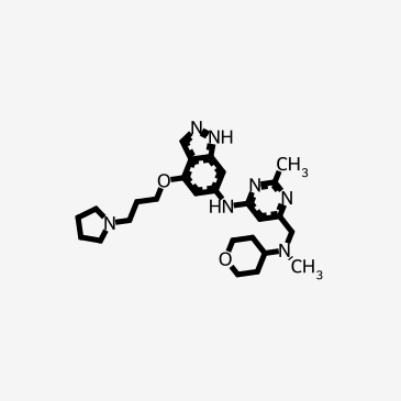 Cc1nc(CN(C)C2CCOCC2)cc(Nc2cc(OCCCN3CCCC3)c3cn[nH]c3c2)n1